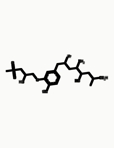 CC(CC(O)C(N)CC(Cc1ccc(C(C)(C)C)c(OCC(O)CS(C)(=O)=O)c1)C(C)C)C(=O)O